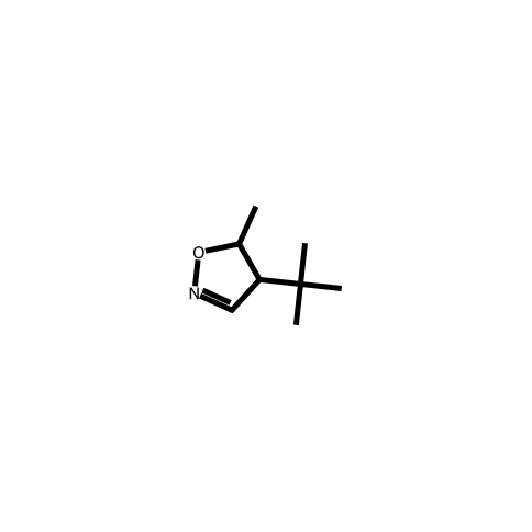 CC1ON=CC1C(C)(C)C